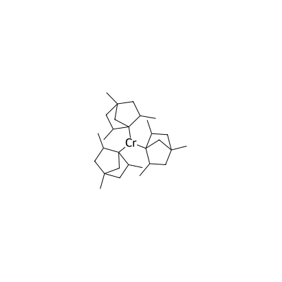 CC1CC2(C)CC(C)[C]1([Cr]([C]13CC(C)(CC1C)CC3C)[C]13CC(C)(CC1C)CC3C)C2